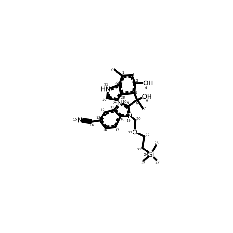 Cc1cc(O)c(C(C)(O)c2nc3cc(C#N)ccc3n2COCC[Si](C)(C)C)c2cc[nH]c12